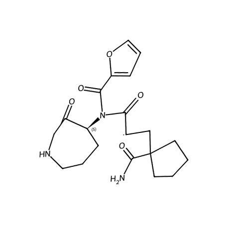 NC(=O)C1(C[CH]C(=O)N(C(=O)c2ccco2)[C@H]2CCCNCC2=O)CCCC1